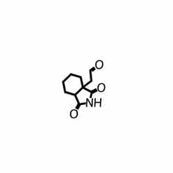 O=CCC12CCCCC1C(=O)NC2=O